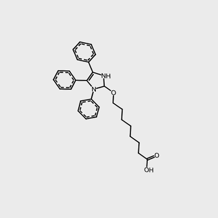 O=C(O)CCCCCCCOC1NC(c2ccccc2)=C(c2ccccc2)N1c1ccccc1